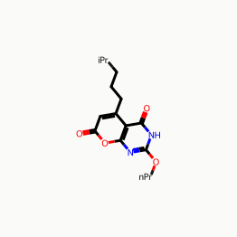 CCCOc1nc2oc(=O)cc(CCCC(C)C)c2c(=O)[nH]1